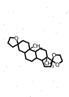 C[C@]12CCC3(CCCO3)CC1CCC1C2CC[C@@]2(C)C1CCC21OCCO1